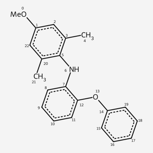 COc1cc(C)c(Nc2ccccc2Oc2ccccc2)c(C)c1